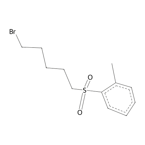 Cc1ccccc1S(=O)(=O)CCCCCBr